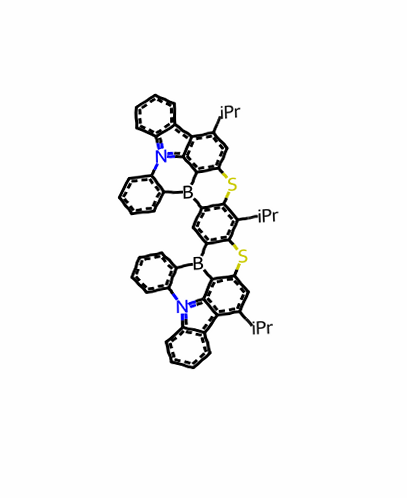 CC(C)c1c2c(cc3c1Sc1cc(C(C)C)c4c5ccccc5n5c4c1B3c1ccccc1-5)B1c3ccccc3-n3c4ccccc4c4c(C(C)C)cc(c1c43)S2